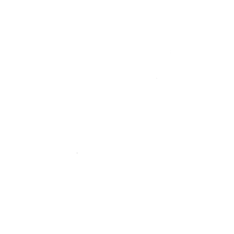 CCC(C)(C)c1ccc(-c2ccc(C(C)(CC)CC)cc2S(=O)(=O)O)c(S(=O)(=O)O)c1